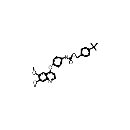 COc1cc2nccc(Oc3ccc(NC(=O)OCc4ccc(C(C)(C)C)cc4)cc3)c2cc1OC